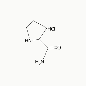 Cl.NC(=O)C1CCCN1